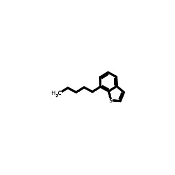 [CH2]CCCCc1cccc2ccsc12